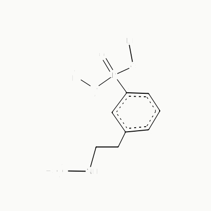 CCOP(=O)(OCC)c1cccc(CCNC(=O)O)c1